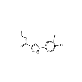 CCOC(=O)c1coc(-c2ccc(Cl)c(F)c2)n1